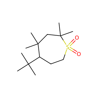 CC(C)(C)C1CCS(=O)(=O)C(C)(C)CC1(C)C